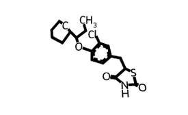 CCC(Oc1ccc(CC2SC(=O)NC2=O)cc1Cl)C1CCCCC1